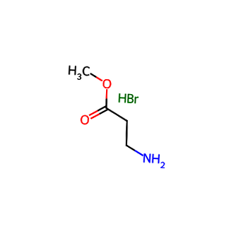 Br.COC(=O)CCN